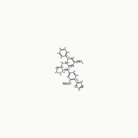 COc1cc(NC2=NC(N)=NC(c3ccccc3)N2CC2CCCO2)ccc1-c1cnco1